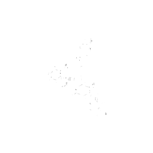 O=C(Nc1ccc(Cl)cc1N1CCN(CCC(F)(F)F)CC1)c1ccc(CN2CCC[C@@H](O)C2)c(F)c1F